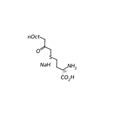 CCCCCCCCCC(=O)CSCC[C@H](N)C(=O)O.[NaH]